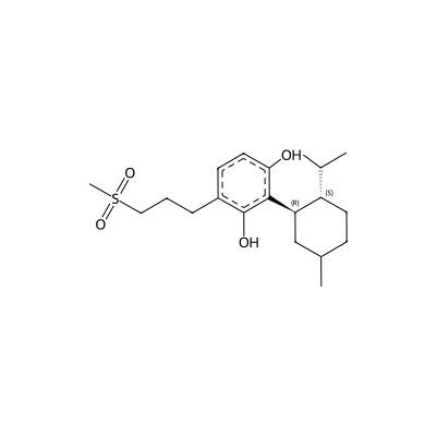 CC1CC[C@@H](C(C)C)[C@H](c2c(O)ccc(CCCS(C)(=O)=O)c2O)C1